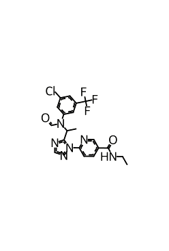 CCNC(=O)c1ccc(-n2ncnc2C(C)N(C=O)c2cc(Cl)cc(C(F)(F)F)c2)nc1